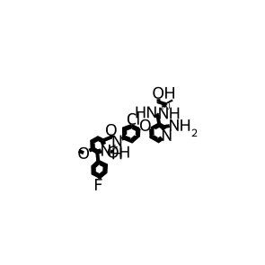 COc1ccc(C(=O)Nc2ccc(Oc3ccnc(N)c3C(=N)N[C@H](C)CO)c(Cl)c2)[n+](O)c1-c1ccc(F)cc1